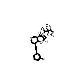 CC(C)(C(=O)N1C[C@@H]2C[C@H]1c1cncc(C#Cc3cccc(F)c3)c1O2)C(F)F